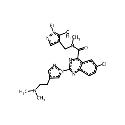 CCn1ncc(CN(C)C(=O)c2nc(-n3cc(CCN(C)C)cn3)nc3ccc(Cl)cc23)c1C